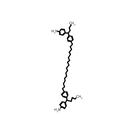 CCCCC(c1ccc(N)cc1)c1ccc(CCCCCCCCCCCCCCCCCCc2ccc(C(CCCC)c3ccc(N)cc3)cc2)cc1